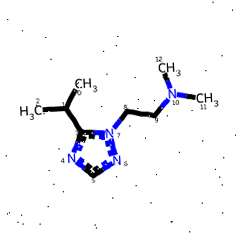 CC(C)c1ncnn1CCN(C)C